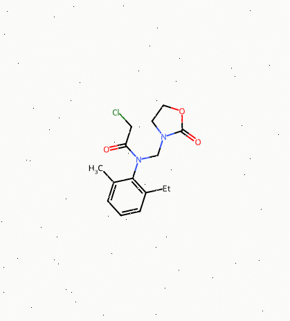 CCc1cccc(C)c1N(CN1CCOC1=O)C(=O)CCl